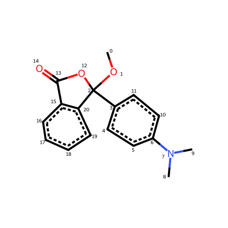 COC1(c2ccc(N(C)C)cc2)OC(=O)c2ccccc21